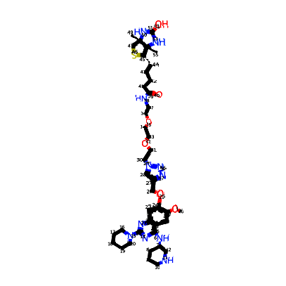 COc1cc2c(N[C@@H]3CCCNC3)nc(N3CCCCC3)nc2cc1OCc1cn(CCOCCOCCNC(=O)CCCC[C@@H]2SC[C@]3(C)NC(O)N[C@]23C)nn1